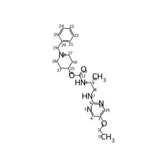 CCOc1cnc(NC[C@@H](C)NC(=O)OC2CCN(Cc3ccccc3)CC2)nc1